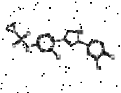 CCn1cc(N2C=C(c3ccc(NS(=O)(=O)C4CC4)cc3Cl)CN2)ccc1=O